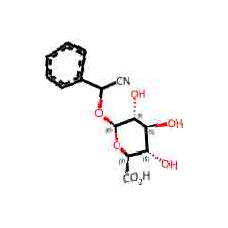 N#CC(O[C@@H]1O[C@H](C(=O)O)[C@@H](O)[C@H](O)[C@H]1O)c1ccccc1